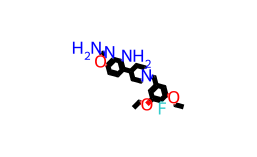 CCOc1cc(CN2CCC(c3ccc4oc(N)nc4c3N)CC2)cc(OCC)c1F